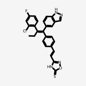 CC/C(=C(\c1ccc(C=Cc2noc(=S)[nH]2)cc1)c1ccc2[nH]ncc2c1)c1ccc(F)cc1Cl